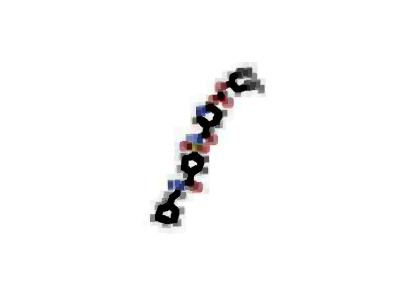 CCC(CC)OC(=O)Oc1ccc(C(=O)NS(=O)(=O)c2ccc(C(=O)NCCc3ccccc3)cc2)cn1